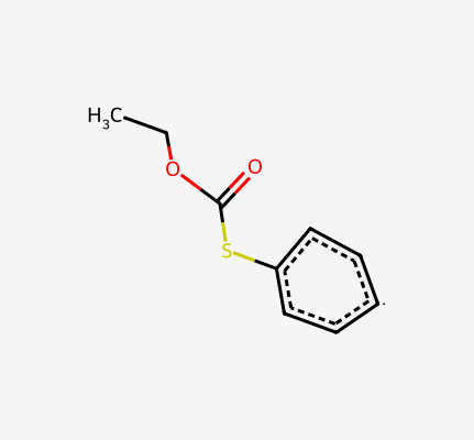 CCOC(=O)Sc1cc[c]cc1